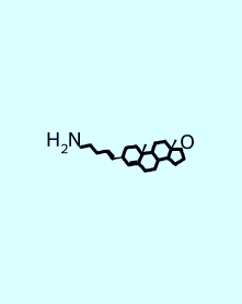 C[C@]12CC[C@H](C=CCCCN)C=C1CCC1C2CC[C@]2(C)C(=O)CCC12